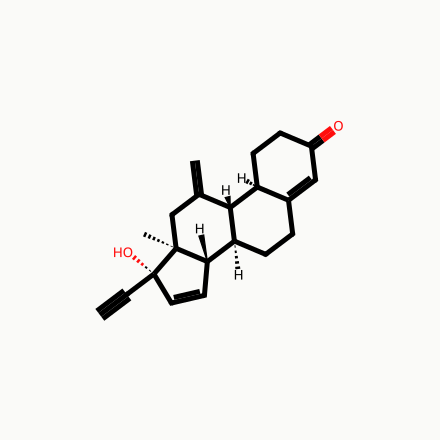 C#C[C@]1(O)C=C[C@H]2[C@@H]3CCC4=CC(=O)CC[C@@H]4[C@H]3C(=C)C[C@@]21C